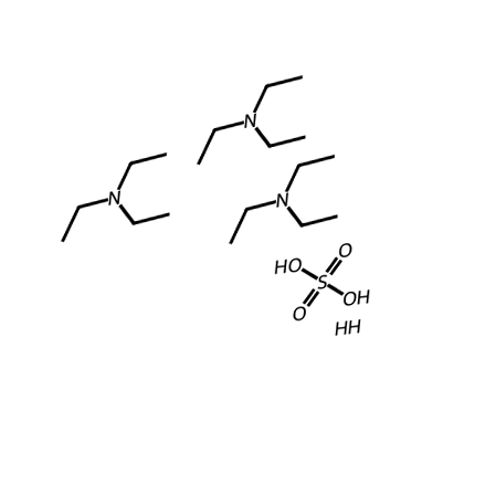 CCN(CC)CC.CCN(CC)CC.CCN(CC)CC.O=S(=O)(O)O.[HH]